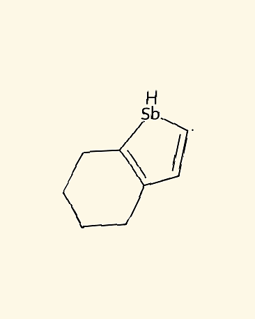 [C]1=CC2=[C](CCCC2)[SbH]1